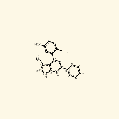 Cc1ccc(O)cc1-c1cc(-c2ccncc2)nc2[nH]nc(N)c12